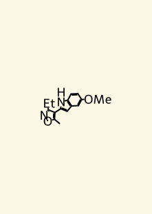 CCc1noc(C)c1-c1cc2cc(OC)ccc2[nH]1